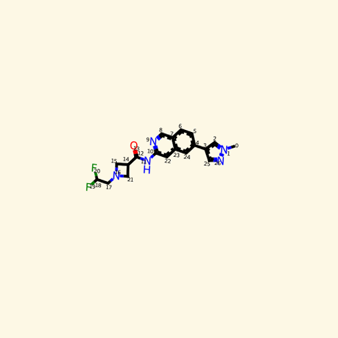 Cn1cc(-c2ccc3cnc(NC(=O)C4CN(CC(F)F)C4)cc3c2)cn1